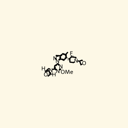 COc1nc(N2C[C@@H]3C[C@H]2CO3)cc(-n2ncc3cc(C)c([C@H]4CCN(C5COC5)C[C@H]4F)cc32)n1